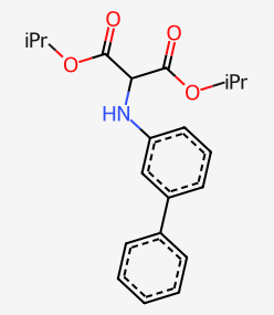 CC(C)OC(=O)C(Nc1cccc(-c2ccccc2)c1)C(=O)OC(C)C